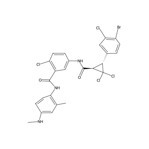 CNc1ccc(NC(=O)c2cc(NC(=O)[C@H]3[C@H](c4ccc(Br)c(Cl)c4)C3(Cl)Cl)ccc2Cl)c(C)c1